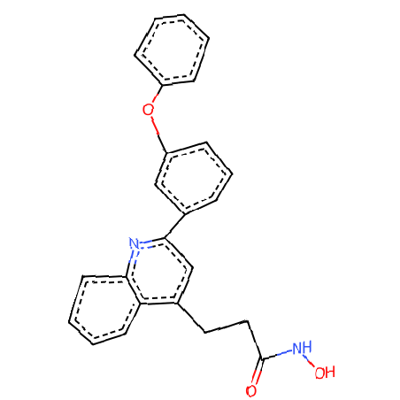 O=C(CCc1cc(-c2cccc(Oc3ccccc3)c2)nc2ccccc12)NO